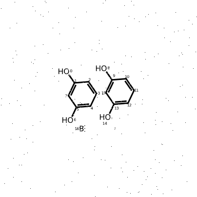 Oc1cccc(O)c1.Oc1cccc(O)c1.[B]